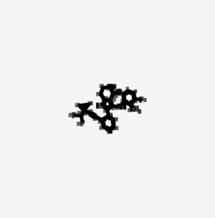 Cc1c(F)cccc1Nc1c(-c2ccncc2C#CC2(C(F)F)CC2)[nH]c2c1C(=O)NCC2